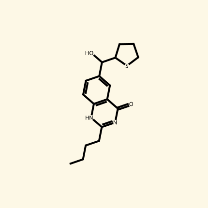 CCCCc1nc(=O)c2cc(C(O)C3CCCS3)ccc2[nH]1